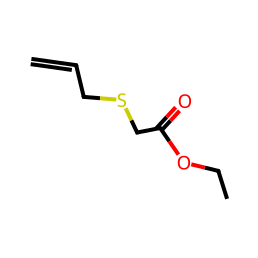 C=CCSCC(=O)OCC